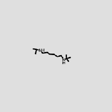 CC(C)NCCCCCCNC(C)(C)C